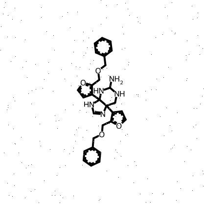 NC1NCC2(c3ccoc3COCc3ccccc3)N=CNC2(c2ccoc2COCc2ccccc2)N1